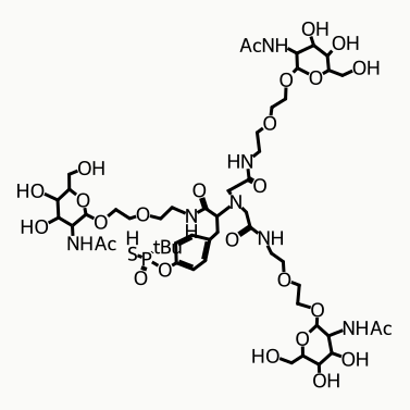 CC(=O)NC1C(OCCOCCNC(=O)CN(CC(=O)NCCOCCOC2OC(CO)C(O)C(O)C2NC(C)=O)C(Cc2ccc(OP(=O)(S)C(C)(C)C)cc2)C(=O)NCCOCCOC2OC(CO)C(O)C(O)C2NC(C)=O)OC(CO)C(O)C1O